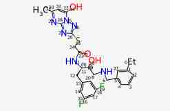 CCc1cccc(CNC[C@H](O)[C@@H](Cc2cc(F)cc(F)c2)NC(=O)CSc2nc3nc(C)cc(O)n3n2)c1